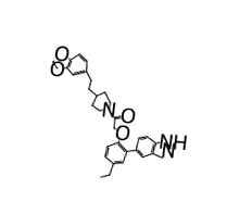 CCc1ccc(OCC(=O)N2CCC(CCc3ccc4c(c3)OCO4)CC2)c(-c2ccc3[nH]ncc3c2)c1